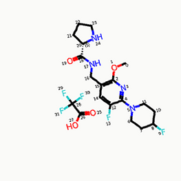 COc1nc(N2CCC(F)CC2)c(F)cc1CNC(=O)[C@@H]1CCCN1.O=C(O)C(F)(F)F